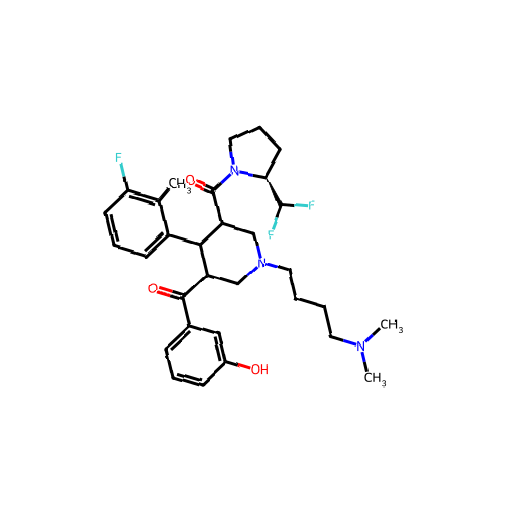 Cc1c(F)cccc1C1C(C(=O)c2cccc(O)c2)CN(CCCCN(C)C)CC1C(=O)N1CCC[C@H]1C(F)F